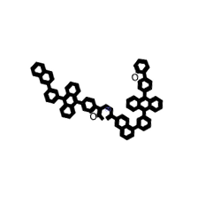 C=C(/C=C\c1c(C)oc2cc(-c3c4ccccc4c(-c4cccc(-c5ccc6ccccc6c5)c4)c4ccccc34)ccc12)c1ccc2c(-c3cccc(-c4c5ccccc5c(-c5ccc6c(c5)oc5ccccc56)c5ccccc45)c3)cccc2c1